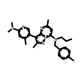 CCCN(Cc1ccc(I)cc1)c1cc(C)nc2c(-c3cnc(N(C)C)cc3C)c(C)nn12